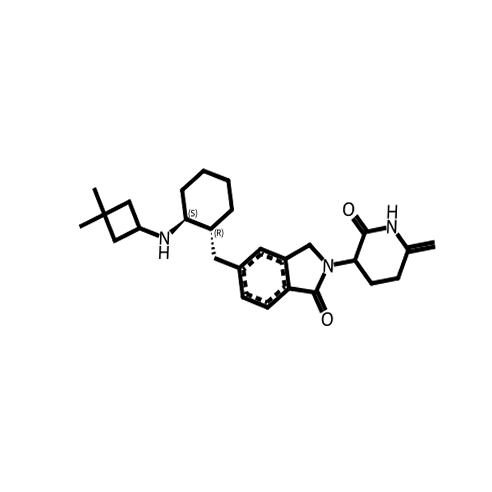 C=C1CCC(N2Cc3cc(C[C@H]4CCCC[C@@H]4NC4CC(C)(C)C4)ccc3C2=O)C(=O)N1